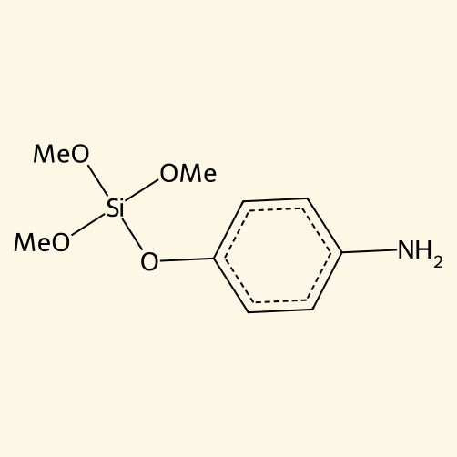 CO[Si](OC)(OC)Oc1ccc(N)cc1